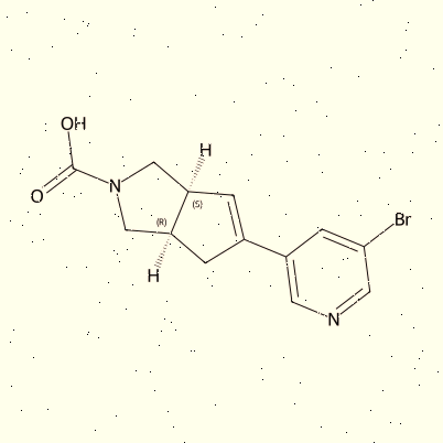 O=C(O)N1C[C@@H]2CC(c3cncc(Br)c3)=C[C@@H]2C1